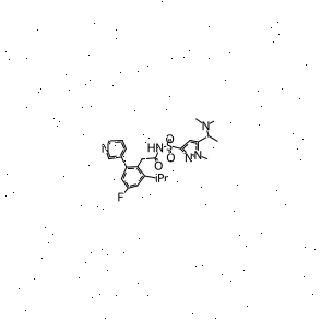 CC(C)c1cc(F)cc(-c2cccnc2)c1CC(=O)NS(=O)(=O)c1cc(C(C)N(C)C)n(C)n1